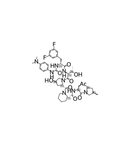 CC(=O)[C@@H]1C[C@@H](C)CN1C(=O)[C@H](C)NC(=O)[C@@H]1CCCCN1C(=O)[C@@H]1C[C@@H](O)CN1C(=O)[C@@H](NC(=O)[C@H](Cc1cc(F)cc(F)c1)NC(=O)Nc1ccc(N(C)C)cc1)[C@H](C)O